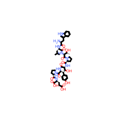 CC(C)C[C@H](NC(=O)[C@@H](N)Cc1c[nH]c2ccccc12)C(=O)N[C@H](C(=O)N1CCC[C@H]1C(=O)N[C@H](C(=O)N[C@@H](Cc1ccc(O)cc1)C(=O)N1CCC[C@H]1C(=O)N[C@@H](CCC(=O)O)C(=O)O)[C@@H](C)O)[C@@H](C)O